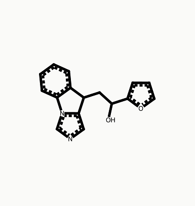 OC(CC1c2ccccc2-n2cncc21)c1ccco1